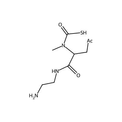 CC(=O)CC(C(=O)NCCN)N(C)C(=O)S